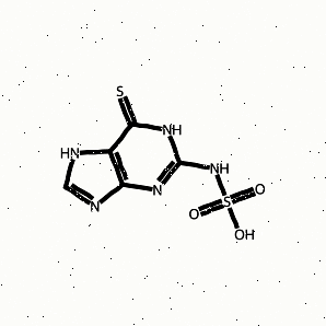 O=S(=O)(O)Nc1nc2nc[nH]c2c(=S)[nH]1